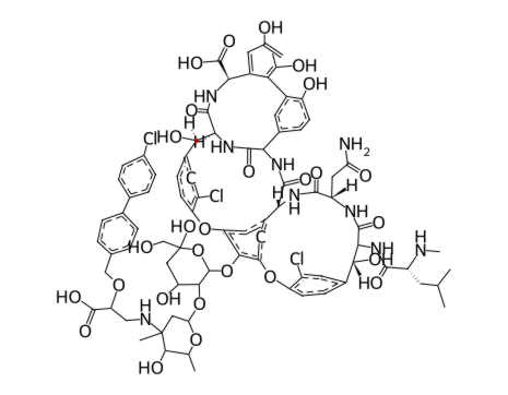 C=C(O)/C=C1\C(=C(/C)O)c2cc(ccc2O)C2NC(=O)[C@@H]3NC(=O)[C@H](CC(N)=O)NC(=O)C(NC(=O)[C@@H](CC(C)C)NC)[C@H](O)c4ccc(c(Cl)c4)Oc4cc3cc(c4OC3OC(O)(CO)CC(O)C3OC3CC(C)(NCC(OCc4ccc(-c5ccc(Cl)cc5)cc4)C(=O)O)C(O)C(C)O3)Oc3ccc(cc3Cl)[C@@H](O)[C@H](NC2=O)C(=O)N[C@H]1C(=O)O